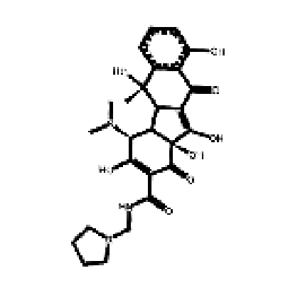 CN(C)[C@@H]1C(O)=C(C(=O)NCN2CCCC2)C(=O)[C@@]2(O)C(O)=C3C(=O)c4c(O)cccc4[C@@](C)(O)C3C12